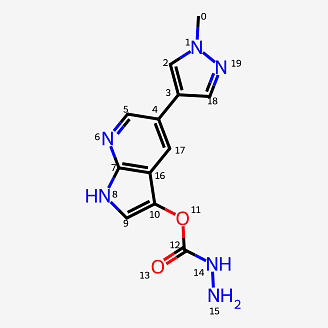 Cn1cc(-c2cnc3[nH]cc(OC(=O)NN)c3c2)cn1